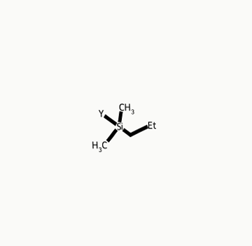 CCC[Si](C)(C)[Y]